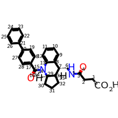 O=C(O)CCC(=O)NC[C@H]1c2ccccc2N(C(=O)c2ccc(-c3ccccc3)cc2)[C@@H]2CCC[C@@H]21